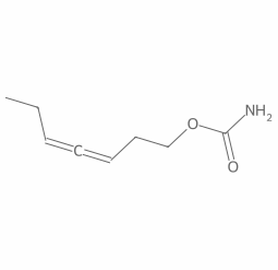 CCC=C=CCCOC(N)=O